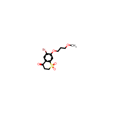 COCCCOc1cc2c(cc1Br)C(=O)CCS2(=O)=O